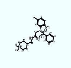 Cc1ccc(Cl)c(N(CC(=O)NCC2CC[N+](C)(C)CC2)S(=O)(=O)c2ccccc2)c1